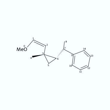 CO/C=C\[C@@]1(C)C[C@H]1C(C)c1ccccc1